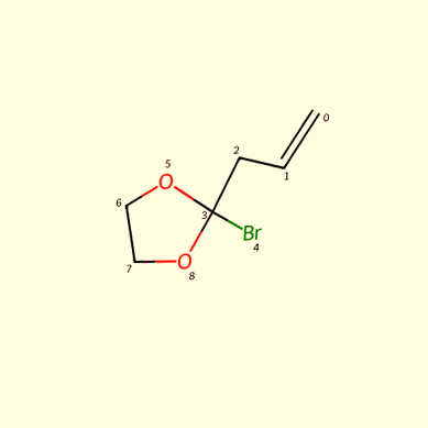 C=CCC1(Br)OCCO1